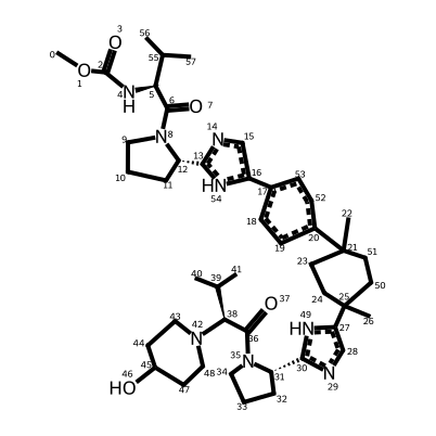 COC(=O)N[C@H](C(=O)N1CCC[C@H]1c1ncc(-c2ccc(C3(C)CCC(C)(c4cnc([C@@H]5CCCN5C(=O)[C@H](C(C)C)N5CCC(O)CC5)[nH]4)CC3)cc2)[nH]1)C(C)C